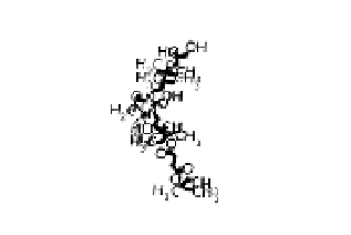 CCC(C)(CC)OC(=O)CCC(=O)OC(CC)(CC)C(C)(C)C(O)Cn1c(=O)n(C)c(=O)n(CC(O)C(C)(CC)C(CC)(CC)SCC(O)CO)c1=O